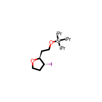 CC(C)[Si](OCC[C@@H]1OCC[C@H]1I)(C(C)C)C(C)C